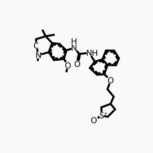 COc1cc2c(cc1NC(=O)Nc1ccc(OCCC3CC[S+]([O-])C3)c3ccccc13)C(C)(C)CCN2C